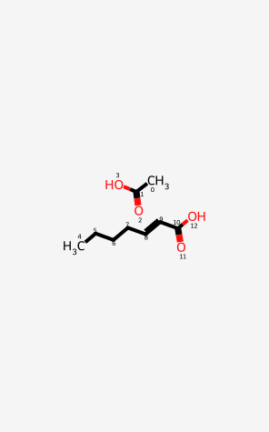 CC(=O)O.CCCCC=CC(=O)O